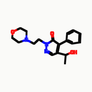 CC(O)c1cnn(CCN2CCOCC2)c(=O)c1-c1ccccc1